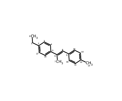 CCc1ccc(C(C)=Cc2ccc(C)cc2)cc1